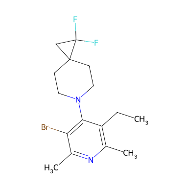 CCc1c(C)nc(C)c(Br)c1N1CCC2(CC1)CC2(F)F